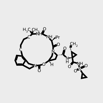 C=C[C@@H]1C[C@]1(NC(=O)[C@@H]1C[C@@H]2CN1C(=O)[C@H](C(C)C)NC(=O)NC(C)(C)CCCCc1cccc3c1CN(C3)C(=O)O2)C(=O)NS(=O)(=O)C1CC1